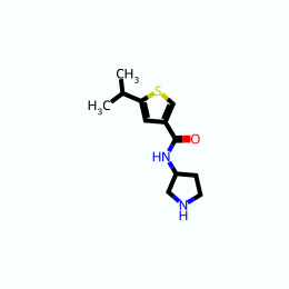 CC(C)c1cc(C(=O)NC2CCNC2)cs1